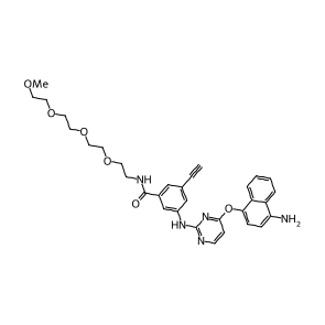 C#Cc1cc(Nc2nccc(Oc3ccc(N)c4ccccc34)n2)cc(C(=O)NCCOCCOCCOCCOC)c1